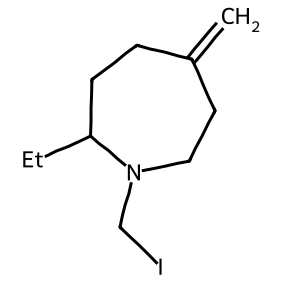 C=C1CCC(CC)N(CI)CC1